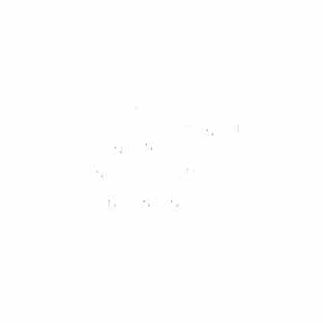 CN(C)C/C=C/C(=O)N(C)c1cccc(Nc2cc(Nc3ccc(Oc4ccccc4)cc3)ncn2)n1